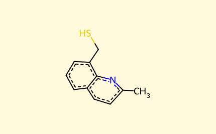 Cc1ccc2cccc(CS)c2n1